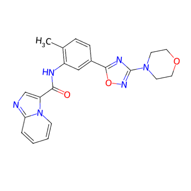 Cc1ccc(-c2nc(N3CCOCC3)no2)cc1NC(=O)c1cnc2ccccn12